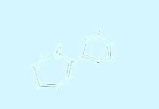 C1=CC=C(c2ccccp2)NC=C1